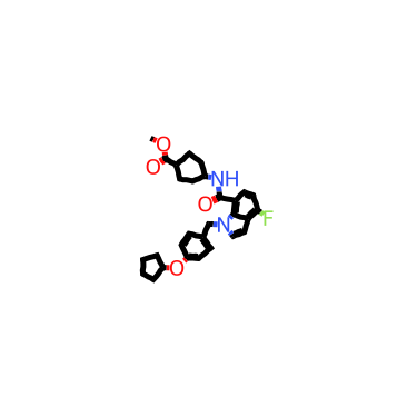 COC(=O)C1CCC(NC(=O)c2ccc(F)c3ccn(Cc4ccc(OC5CCCC5)cc4)c23)CC1